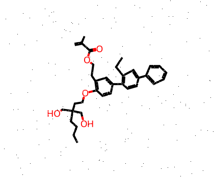 C=C(C)C(=O)OCCc1cc(-c2ccc(-c3ccccc3)cc2CC)ccc1OCCC(CO)(CO)CCCC